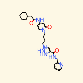 O=C(CC1CCCCC1)Nc1ccn(CCCCN2C=C(C(=O)NCc3ccccn3)NN2)c(=O)c1